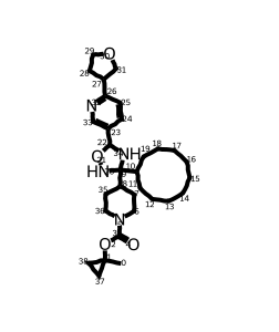 CC1(OC(=O)N2CCC(C3(C4CCCCCCCCC4)NOC(c4ccc(C5CCOC5)nc4)N3)CC2)CC1